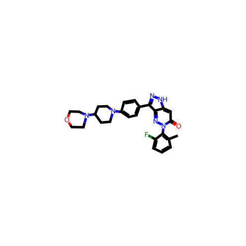 Cc1cccc(F)c1-n1nc2c(-c3ccc(N4CCC(N5CCOCC5)CC4)cc3)n[nH]c2cc1=O